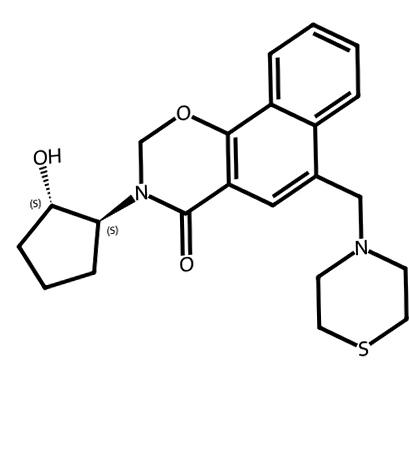 O=C1c2cc(CN3CCSCC3)c3ccccc3c2OCN1[C@H]1CCC[C@@H]1O